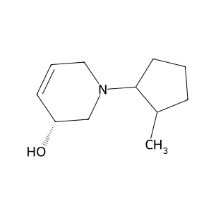 CC1CCCC1N1CC=C[C@@H](O)C1